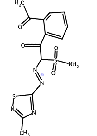 CC(=O)c1ccccc1C(=O)C(/N=N/c1nc(C)ns1)S(N)(=O)=O